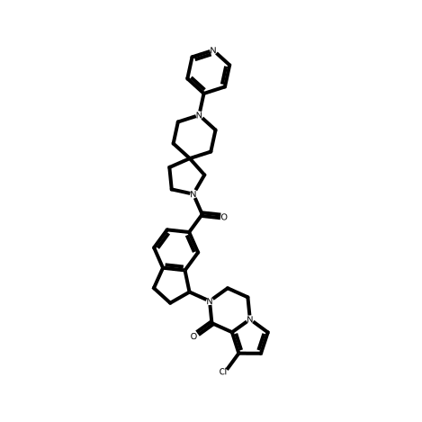 O=C(c1ccc2c(c1)C(N1CCn3ccc(Cl)c3C1=O)CC2)N1CCC2(CCN(c3ccncc3)CC2)C1